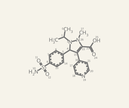 CC(C)N1C(c2ccc(S(N)(=O)=O)cc2)C(c2ccncc2)=C(C(=O)O)N1C